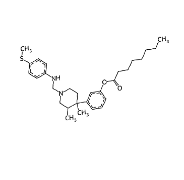 CCCCCCCC(=O)Oc1cccc(C2(C)CCN(CNc3ccc(SC)cc3)CC2C)c1